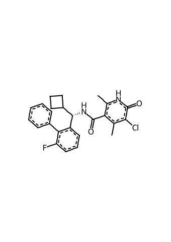 Cc1[nH]c(=O)c(Cl)c(C)c1C(=O)N[C@H](c1cccc(F)c1-c1ccccc1)C1CCC1